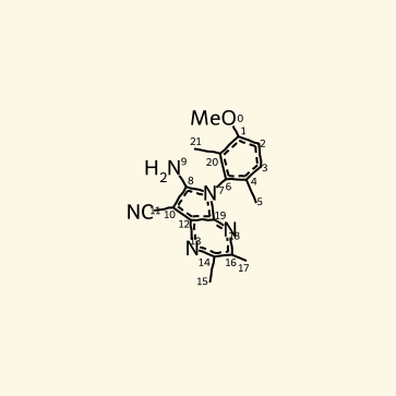 COc1ccc(C)c(-n2c(N)c(C#N)c3nc(C)c(C)nc32)c1C